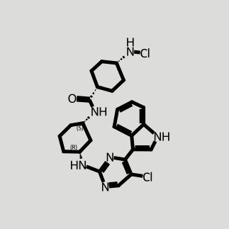 O=C(N[C@H]1CCC[C@@H](Nc2ncc(Cl)c(-c3c[nH]c4ccccc34)n2)C1)[C@H]1CC[C@@H](NCl)CC1